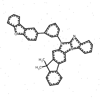 CC1(C)c2ccccc2-c2cc3c(cc21)n(-c1cccc(-c2ccc4oc5ccccc5c4c2)c1)c1nc2ccccc2n31